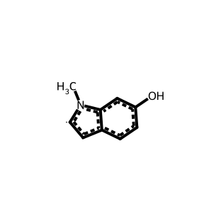 Cn1[c]cc2ccc(O)cc21